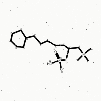 C[N+](C)(C)CC(CCCCCC1CCCCC1)OP(=O)([O-])O